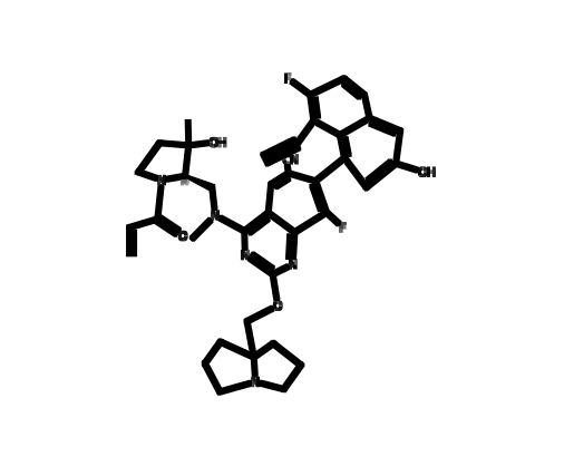 C#Cc1c(F)ccc2cc(O)cc(-c3c(C#N)cc4c(N(C)C[C@H]5N(C(=O)C=C)CCC5(C)O)nc(OCC56CCCN5CCC6)nc4c3F)c12